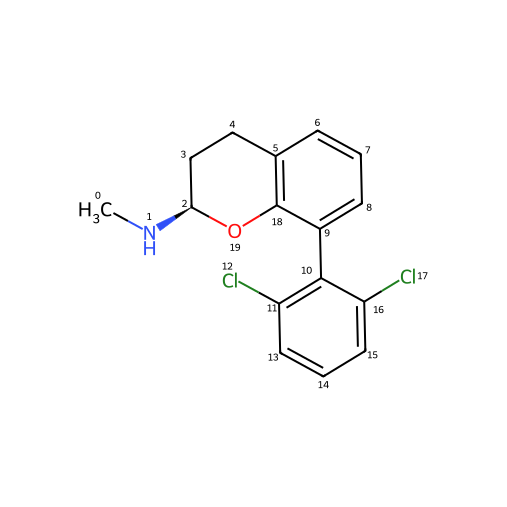 CN[C@H]1CCc2cccc(-c3c(Cl)cccc3Cl)c2O1